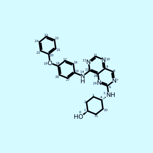 O[C@H]1CC[C@H](Nc2ncc3ncnc(Nc4ccc(Oc5ccccc5)cc4)c3n2)CC1